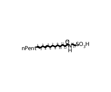 CCCCCC=CCC=CCCCCCCCC(=O)NCCS(=O)(=O)O